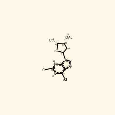 CC[C@H]1OC(n2cnc3c(Cl)nc(Cl)nc32)C[C@H]1OC(C)=O